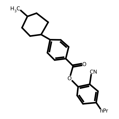 CCCc1ccc(OC(=O)c2ccc(C3CCC(C)CC3)cc2)c(C#N)c1